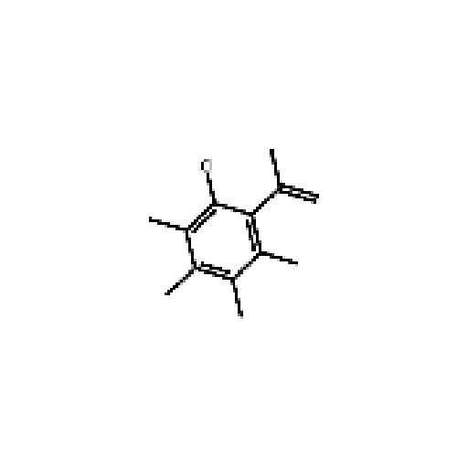 C=C(C)c1c(C)c(C)c(C)c(C)c1Cl